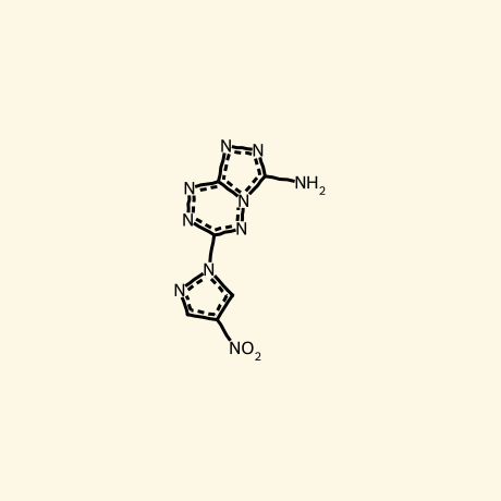 Nc1nnc2nnc(-n3cc([N+](=O)[O-])cn3)nn12